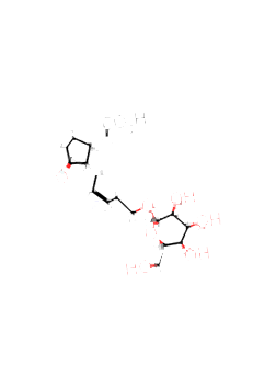 O=C(O)C[C@H]1CCC(=O)[C@H]1C/C=C\CCO[C@@H]1O[C@H](CO)C(O)C(O)C1O